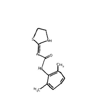 Cc1cccc(C)c1NC(=O)/N=C1\NCCS1